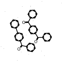 O=C(c1ccccc1)c1ccc(-c2ccccc2)cc1.O=C(c1ccccc1)c1ccc(C(=O)c2ccccc2)cc1